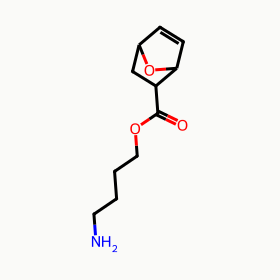 NCCCCOC(=O)C1CC2C=CC1O2